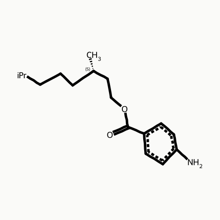 CC(C)CCC[C@H](C)CCOC(=O)c1ccc(N)cc1